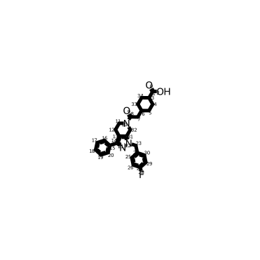 O=C(O)C1CCC(CC(=O)N2CCc3c(-c4ccccc4)nn(Cc4ccc(F)cc4)c3C2)CC1